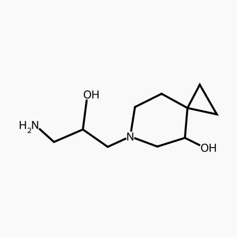 NCC(O)CN1CCC2(CC2)C(O)C1